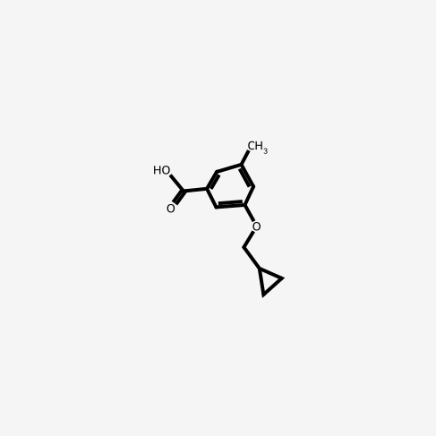 Cc1cc(OCC2CC2)cc(C(=O)O)c1